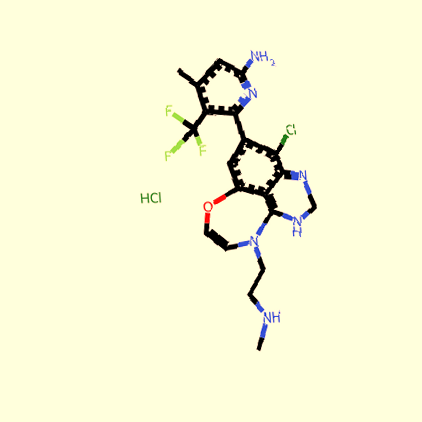 CNCCN1C=COc2cc(-c3nc(N)cc(C)c3C(F)(F)F)c(Cl)c3c2=C1NCN=3.Cl